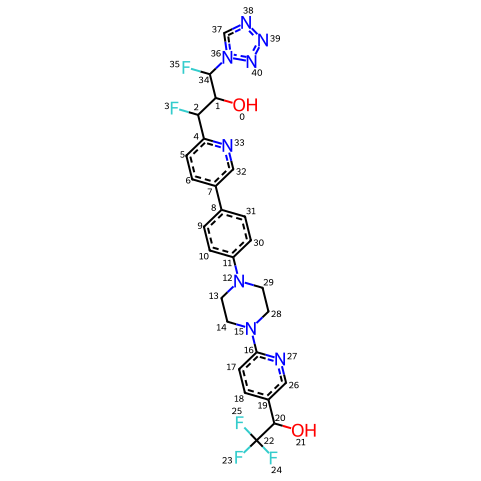 OC(C(F)c1ccc(-c2ccc(N3CCN(c4ccc(C(O)C(F)(F)F)cn4)CC3)cc2)cn1)C(F)n1cnnn1